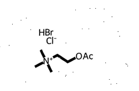 Br.CC(=O)OCC[N+](C)(C)C.[Cl-]